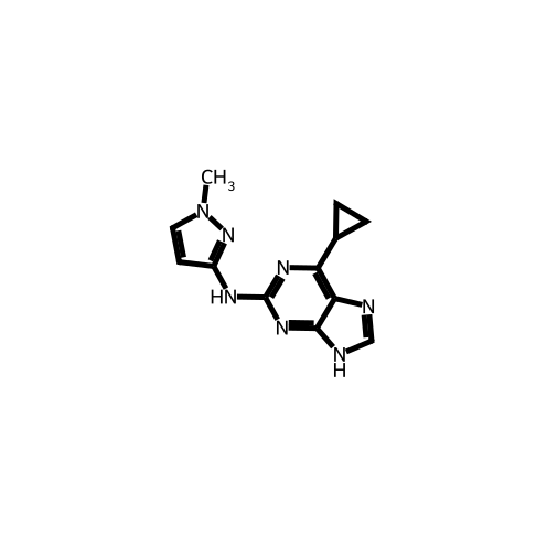 Cn1ccc(Nc2nc(C3CC3)c3nc[nH]c3n2)n1